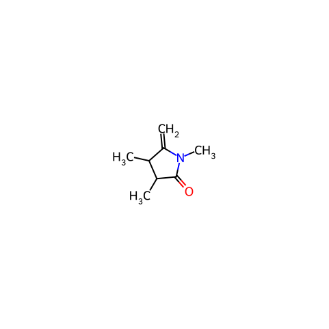 C=C1C(C)C(C)C(=O)N1C